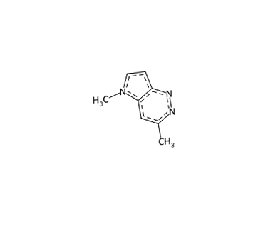 Cc1cc2c(ccn2C)nn1